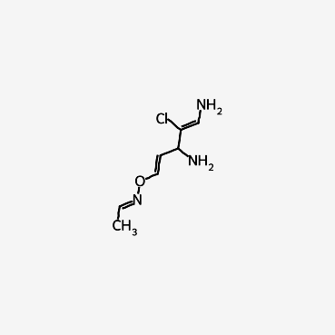 C/C=N/O/C=C/C(N)/C(Cl)=C/N